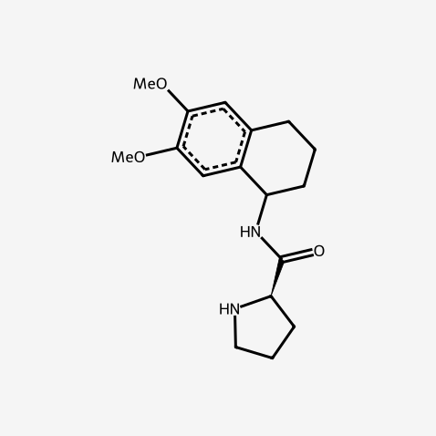 COc1cc2c(cc1OC)C(NC(=O)[C@H]1CCCN1)CCC2